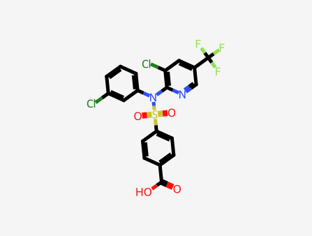 O=C(O)c1ccc(S(=O)(=O)N(c2cccc(Cl)c2)c2ncc(C(F)(F)F)cc2Cl)cc1